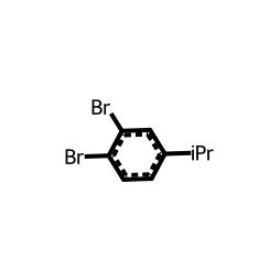 [CH2]C(C)c1ccc(Br)c(Br)c1